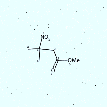 COC(=O)CC(C)(C)[N+](=O)[O-]